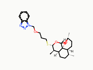 C[C@H]1[C@H](SCCCOCn2nnc3ccccc32)O[C@@H]2O[C@]3(C)CC[C@H]4[C@H](C)CC[C@@H]1[C@@]24OO3